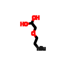 CCCCCCOCC(O)O